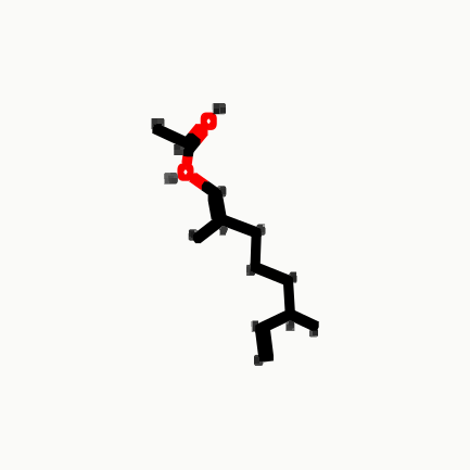 C=CC(C)CCC/C(C)=C/OC(C)=O